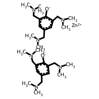 CN(C)Cc1cc(CN(C)C)c([O-])c(CN(C)C)c1.CN(C)Cc1cc(CN(C)C)c([O-])c(CN(C)C)c1.[Zn+2]